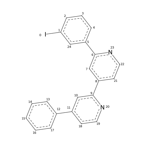 Ic1cccc(-c2cc(-c3cc(-c4ccccc4)ccn3)ccn2)c1